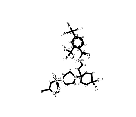 CC(O)CS(=O)(=O)N1CCN(C2(CCNC(=O)c3ccc(C(F)(F)F)cc3C(F)(F)F)CCC(F)(F)CC2)CC1